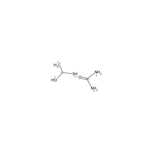 CC(O)S.NC(N)=O